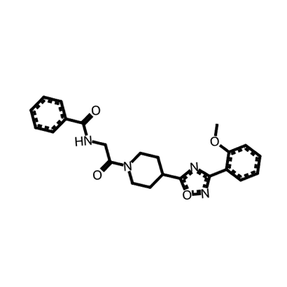 COc1ccccc1-c1noc(C2CCN(C(=O)CNC(=O)c3ccccc3)CC2)n1